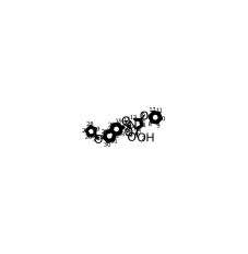 O=C(O)[C@@H]1C[C@H](Oc2ccccc2)CN1S(=O)(=O)c1ccc2cc(OC3CCCC3)ccc2c1